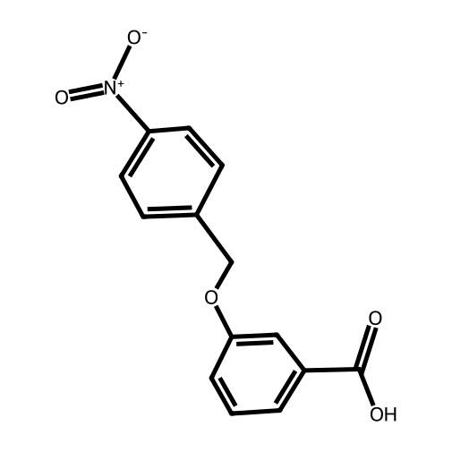 O=C(O)c1cccc(OCc2ccc([N+](=O)[O-])cc2)c1